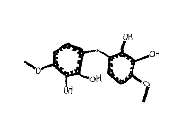 COc1ccc(Sc2ccc(OC)c(O)c2O)c(O)c1O